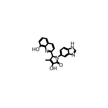 CC1=C(O)C(=O)N(c2ccc3[nH]cnc3c2)C1c1ccc2cccc(O)c2n1